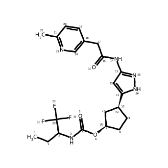 CCC(NC(=O)O[C@@H]1CC[C@H](c2cc(NC(=O)Cc3ccc(C)nc3)n[nH]2)C1)C(F)(F)F